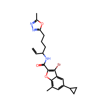 C=CC(CCCc1nnc(C)o1)NC(=O)c1oc2c(C)cc(C3CC3)cc2c1Br